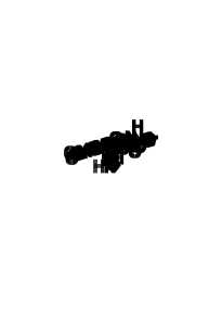 C[C@H]1CC[C@@H](CNc2ncc(S(=O)(=O)NC(=O)c3ccc(N4CCC5(CC4)CC(N4CCS(=O)(=O)CC4)C5)cc3Oc3cnc4[nH]ccc4c3)cc2[N+](=O)[O-])CC1